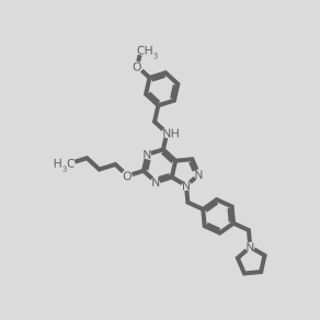 CCCCOc1nc(NCc2cccc(OC)c2)c2cnn(Cc3ccc(CN4CCCC4)cc3)c2n1